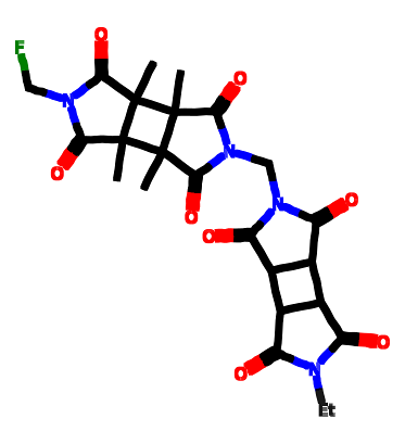 CCN1C(=O)C2C(C1=O)C1C(=O)N(CN3C(=O)C4(C)C5(C)C(=O)N(CF)C(=O)C5(C)C4(C)C3=O)C(=O)C21